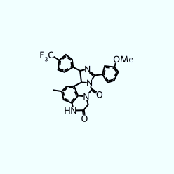 COc1cccc(C2=NC(c3ccc(C(F)(F)F)cc3)C3c4cc(C)cc5c4N(CC(=O)N5)C(=O)N23)c1